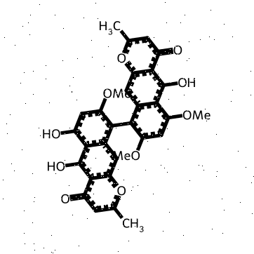 COc1cc(O)c2c(O)c3c(=O)cc(C)oc3cc2c1-c1c(OC)cc(OC)c2c(O)c3c(=O)cc(C)oc3cc12